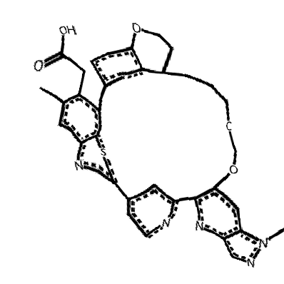 Cc1cc2nc3sc2c(c1CC(=O)O)-c1ccc2c(c1)C(CCCCCOc1cc4c(cnn4C)nc1-c1cc-3ccn1)CCO2